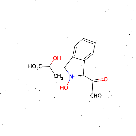 CC(O)C(=O)O.O=CC(=O)C1c2ccccc2CN1O